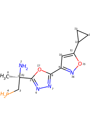 C[C@@](N)(CP)c1nnc(-c2cc(C3CC3)on2)o1